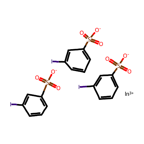 O=S(=O)([O-])c1cccc(I)c1.O=S(=O)([O-])c1cccc(I)c1.O=S(=O)([O-])c1cccc(I)c1.[In+3]